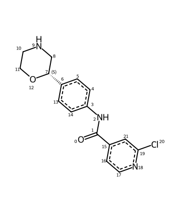 O=C(Nc1ccc([C@H]2CNCCO2)cc1)c1ccnc(Cl)c1